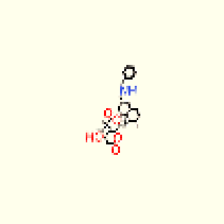 CCC(C)(C)C(=O)O[C@H]1C[C@@H](CNCc2ccccc2)C=C2C=C[C@H](C)[C@H](CC[C@@H]3C[C@@H](O)CC(=O)O3)[C@H]21